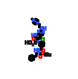 CN1CCN(CCNc2ncc3cc(N(C(=O)O)c4cc(C(=O)NN(CCc5ccccc5)C(=O)OC(C)(C)C)ccc4Cl)c(=O)[nH]c3n2)CC1